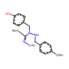 COc1ccc(CNN(Cc2ccc(O)cc2)/C(=N\C=O)SC)cc1